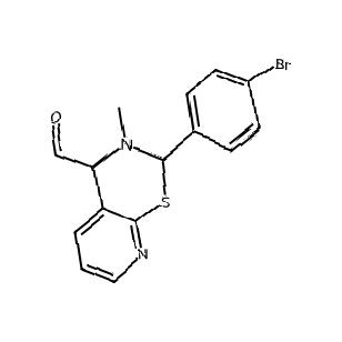 CN1C(C=O)c2cccnc2SC1c1ccc(Br)cc1